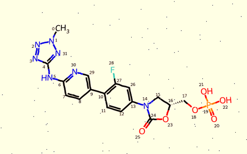 Cn1nnc(Nc2ccc(-c3ccc(N4C[C@H](COP(=O)(O)O)OC4=O)cc3F)cn2)n1